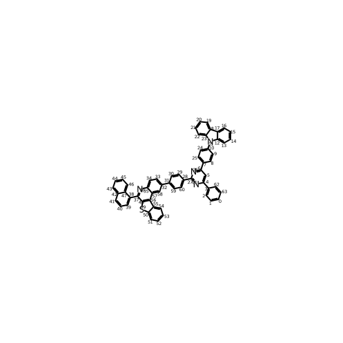 c1ccc(-c2cc(-c3ccc(-n4c5ccccc5c5ccccc54)cc3)nc(-c3ccc(-c4ccc5nc(-c6cccc7ccccc67)c6sc7ccccc7c6c5c4)cc3)n2)cc1